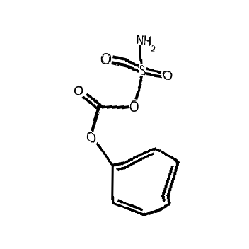 NS(=O)(=O)OC(=O)Oc1ccccc1